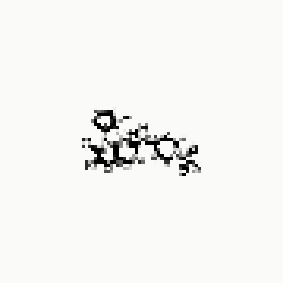 C[C@]1(O)CCC[C@H]1n1c(=O)c(F)cc2cnc(NC3CCN(S(C)(=O)=O)CC3)nc21